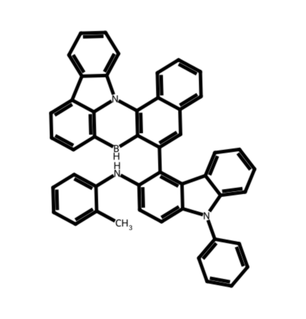 Cc1ccccc1Nc1ccc2c(c1-c1cc3ccccc3c3c1Bc1cccc4c5ccccc5n-3c14)c1ccccc1n2-c1ccccc1